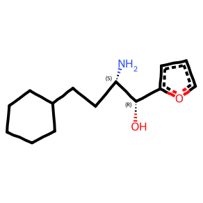 N[C@@H](CCC1CCCCC1)[C@@H](O)c1ccco1